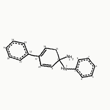 NC1(Nc2ccccc2)C=CC(c2ccccc2)=CC1